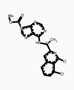 C[C@H](Nc1ncnc2c1ncn2C(=O)OC(C)(C)C)c1cc2cccc(Cl)c2c(Cl)n1